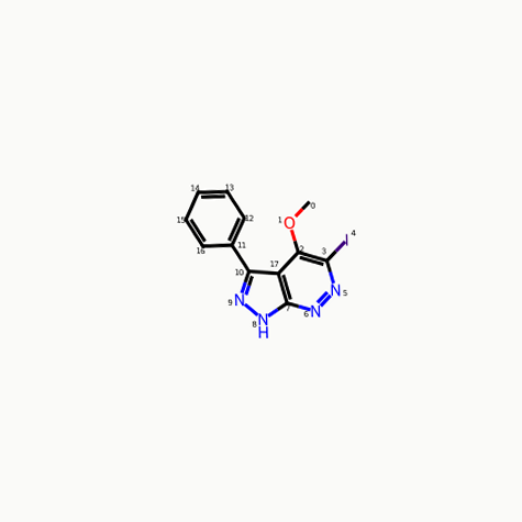 COc1c(I)nnc2[nH]nc(-c3ccccc3)c12